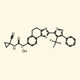 N#CC1(NC(=O)[C@@H](O)c2ccc3c(c2)CCc2nc(-c4onc(-c5ccccc5)c4C(F)(F)F)sc2-3)CC1